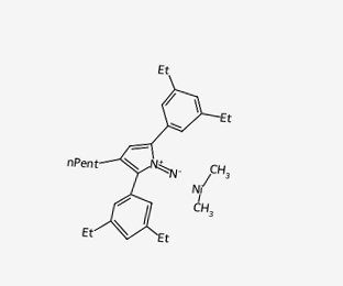 CCCCCC1=C(c2cc(CC)cc(CC)c2)[N+](=[N-])C(c2cc(CC)cc(CC)c2)=C1.[CH3][Ni][CH3]